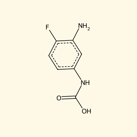 Nc1cc(NC(=O)O)ccc1F